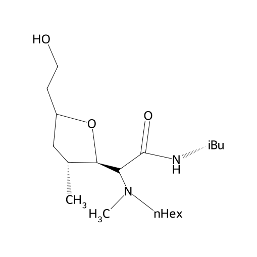 CCCCCCN(C)C(C(=O)N[C@@H](C)CC)[C@@H]1OC(CCO)C[C@H]1C